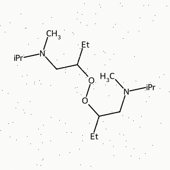 CCC(CN(C)C(C)C)OOC(CC)CN(C)C(C)C